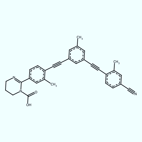 Cc1cc(C#Cc2ccc(C#N)cc2C)cc(C#Cc2ccc(C3=NCCCN3C(=O)O)cc2C)c1